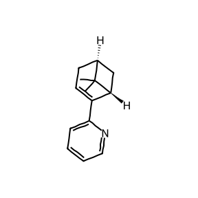 CC1(C)[C@H]2CC=C(c3ccccn3)[C@H]1C2